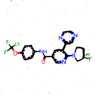 O=C(Nc1ccc(OC(F)(F)Cl)cc1)c1cnc(N2CC[C@@H](F)C2)c(-c2cnccn2)c1